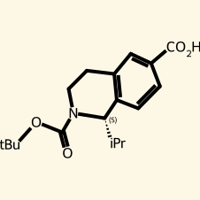 CC(C)[C@H]1c2ccc(C(=O)O)cc2CCN1C(=O)OC(C)(C)C